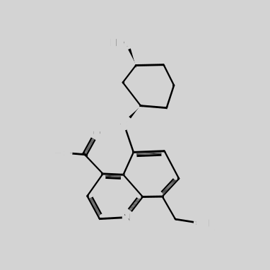 CCc1ccc(O[C@@H]2CCC[C@H](C)C2)c2c(C(=O)O)ccnc12